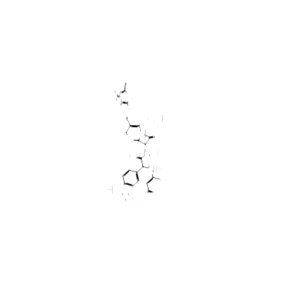 COC(=O)C=C(C)NC(C(=O)N[C@@H]1C(=O)N2C(C(=O)O)=C(CSc3nnc(C)s3)CS[C@@H]12)c1ccc(O)cc1